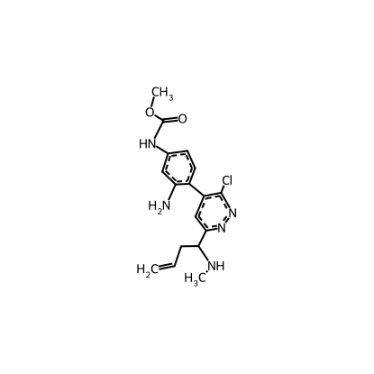 C=CCC(NC)c1cc(-c2ccc(NC(=O)OC)cc2N)c(Cl)nn1